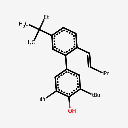 CCC(C)(C)c1ccc(/C=C/C(C)C)c(-c2cc(C(C)C)c(O)c(C(C)(C)C)c2)c1